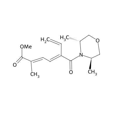 C=C/C(=C\C=C(/C)C(=O)OC)C(=O)N1[C@H](C)COC[C@H]1C